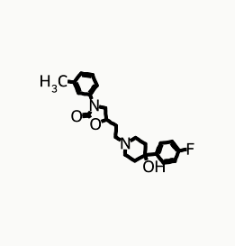 Cc1cccc(N2CC(CCN3CCC(O)(c4ccc(F)cc4)CC3)OC2=O)c1